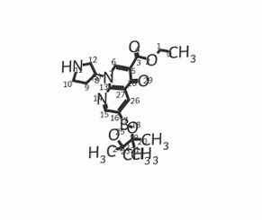 CCOC(=O)c1cn([C@H]2CCNC2)c2ncc(B3OC(C)(C)C(C)(C)O3)cc2c1=O